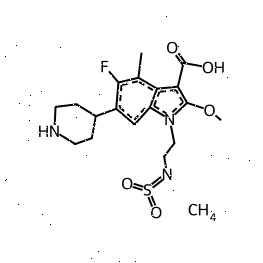 C.COc1c(C(=O)O)c2c(C)c(F)c(C3CCNCC3)cc2n1CCN=S(=O)=O